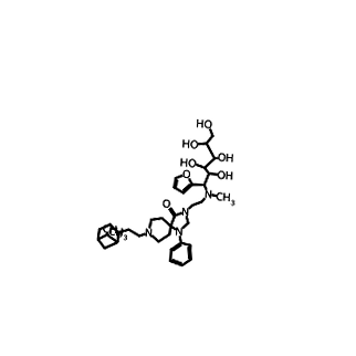 CN(CCN1CN(c2ccccc2)C2(CCN(CCC3CCC4CC3C4(C)C)CC2)C1=O)C(c1ccco1)C(O)C(O)C(O)C(O)CO